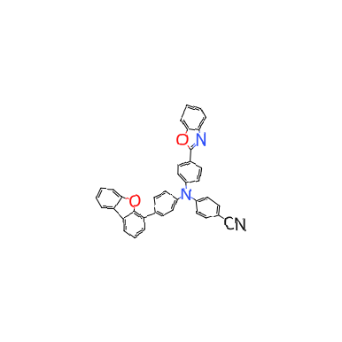 N#Cc1ccc(N(c2ccc(-c3nc4ccccc4o3)cc2)c2ccc(-c3cccc4c3oc3ccccc34)cc2)cc1